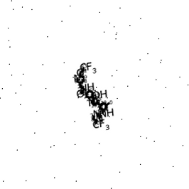 Cc1cc(Nc2nccc(C(F)(F)F)n2)cc(-c2cnc([C@]3(O)CC[C@H](C(=O)NCc4ccc(OCC(F)(F)F)nc4)CC3)s2)c1